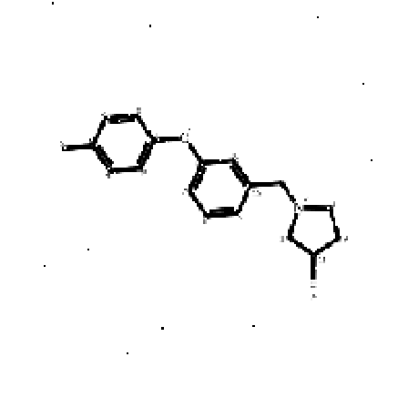 Cc1ccc(Oc2cccc(CN3CCC(F)C3)c2)cc1